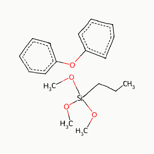 CCC[Si](OC)(OC)OC.c1ccc(Oc2ccccc2)cc1